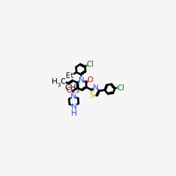 CCC1CC=C(Cl)C=C1n1c(C=C(C)C)c(C(=O)N2CCNCC2)cc(-c2nc(-c3ccc(Cl)cc3)cs2)c1=O